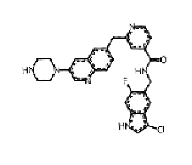 O=C(NCc1cc2c(Cl)c[nH]c2cc1F)c1ccnc(Cc2ccc3ncc(N4CCNCC4)cc3c2)c1